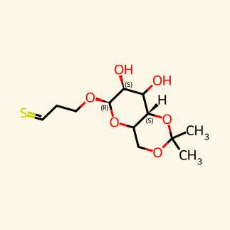 CC1(C)OCC2O[C@@H](OCCC=S)[C@@H](O)C(O)[C@@H]2O1